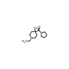 CCN1CCC(C)(C(=O)N2CCCC2)CC1